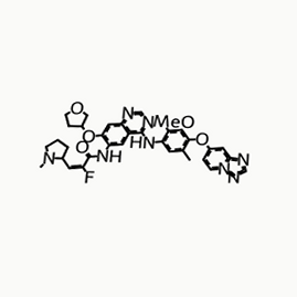 COc1cc(Oc2ccn3ncnc3c2)c(C)cc1Nc1ncnc2cc(OC3CCOC3)c(NC(=O)/C(F)=C\C3CCCN3C)cc12